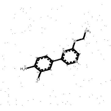 CCOc1cncc(-c2ccc(N)c(Cl)c2)n1